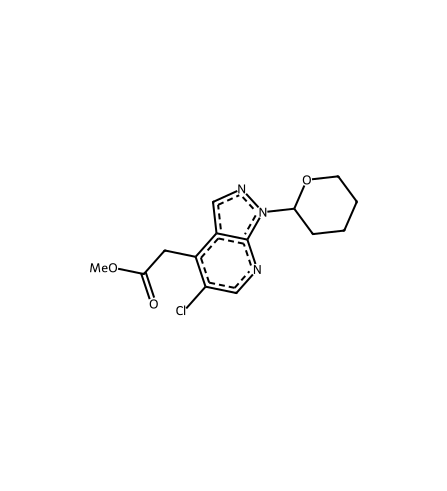 COC(=O)Cc1c(Cl)cnc2c1cnn2C1CCCCO1